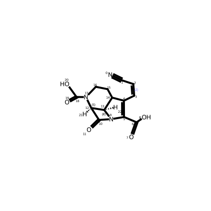 N#C/C=C\C1=C(C(=O)O)N2C(=O)[C@@H]3[C@H]2C1CCN3C(=O)O